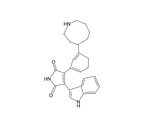 O=C1NC(=O)C(c2c[nH]c3ccccc23)=C1C1=CCCC(C2CCCCNCC2)=C1